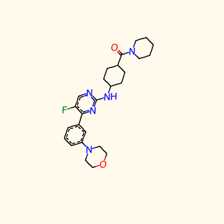 O=C(C1CCC(Nc2ncc(F)c(-c3cccc(N4CCOCC4)c3)n2)CC1)N1CCCCC1